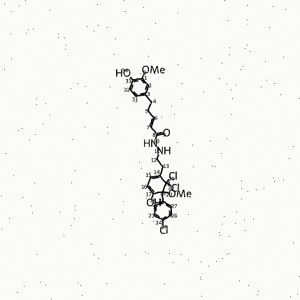 COc1cc(CCC=CC(=O)NNCCC2=CC=C(O)C(OC)(c3ccc(Cl)cc3)C2(Cl)Cl)ccc1O